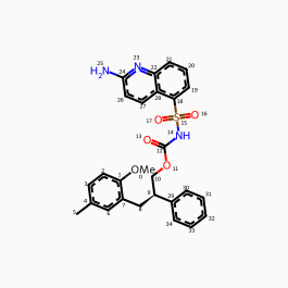 COc1ccc(C)cc1C[C@@H](COC(=O)NS(=O)(=O)c1cccc2nc(N)ccc12)c1ccccc1